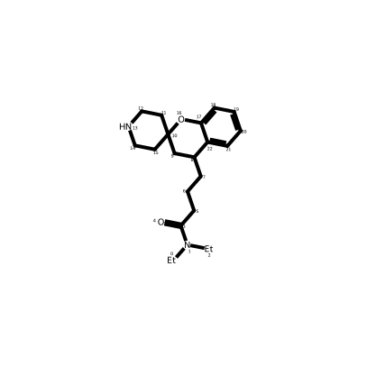 CCN(CC)C(=O)CCCC1CC2(CCNCC2)Oc2ccccc21